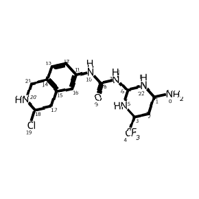 NC1CC(C(F)(F)F)NC(NC(=O)Nc2ccc3c(c2)CC(Cl)NC3)N1